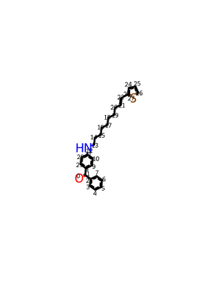 O=C(c1ccccc1)c1ccc(NCCCCCCCCC=Cc2cccs2)cc1